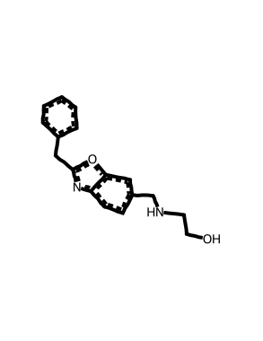 OCCNCc1ccc2nc(Cc3ccccc3)oc2c1